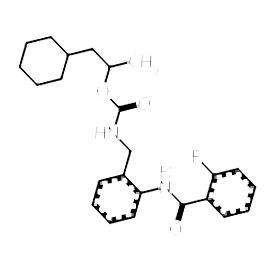 CC(CC1CCCCC1)OC(=O)NCc1ccccc1NC(=O)c1ccccc1F